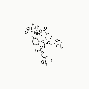 CC(C)COC(=O)Oc1ccc(CC(N)(C[C@H](C)OC(=O)C2CCCCC2)C(=O)O)cc1OC(=O)OCC(C)C